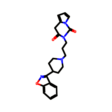 O=C1Cc2cccn2C(=O)N1CCCN1CCC(c2noc3ccccc23)CC1